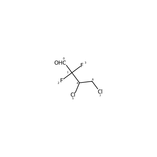 O=CC(F)(F)C(Cl)CCl